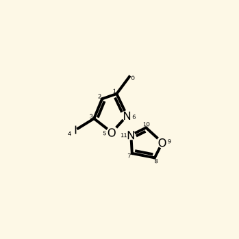 Cc1cc(I)on1.c1cocn1